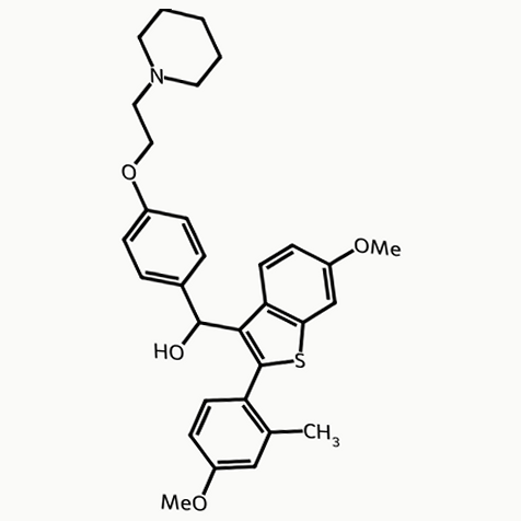 COc1ccc(-c2sc3cc(OC)ccc3c2C(O)c2ccc(OCCN3CCCCC3)cc2)c(C)c1